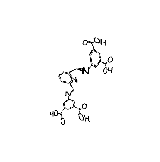 O=C(O)c1cc(/N=C/c2cccc(/C=N/c3cc(C(=O)O)cc(C(=O)O)c3)n2)cc(C(=O)O)c1